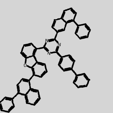 c1ccc(-c2ccc(-c3nc(-c4ccc5cccc(-c6ccccc6)c5c4)nc(-c4cccc5oc6c(-c7ccc(-c8ccccc8)c8ccccc78)cccc6c45)n3)cc2)cc1